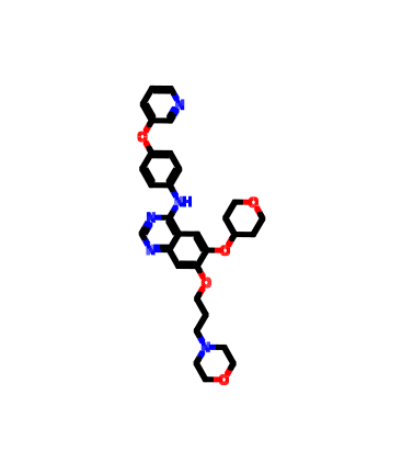 c1cncc(Oc2ccc(Nc3ncnc4cc(OCCCN5CCOCC5)c(OC5CCOCC5)cc34)cc2)c1